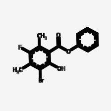 Cc1c(F)c(C)c(C(=O)Oc2ccccc2)c(O)c1Br